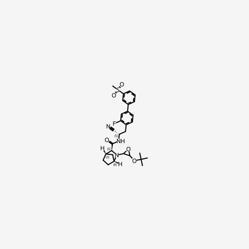 CC(C)(C)OC1OC1N1[C@@H]2CC[C@@H](C2)[C@H]1C(=O)N[C@H](C#N)Cc1ccc(-c2cccc(S(C)(=O)=O)c2)cc1F